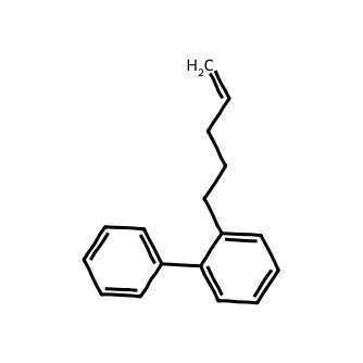 C=CCCCc1ccccc1-c1ccccc1